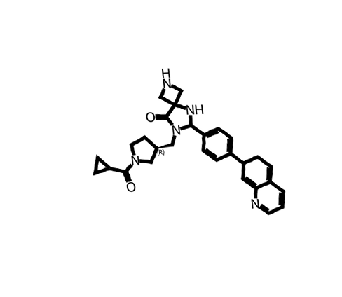 O=C(C1CC1)N1CC[C@@H](CN2C(=O)C3(CNC3)NC2c2ccc(C3C=c4ncccc4=CC3)cc2)C1